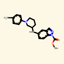 CC(C)(C)OC(=O)n1ncc2cc([AsH]C3CCCN(c4ccc([N+](=O)[O-])cc4)C3)ccc21